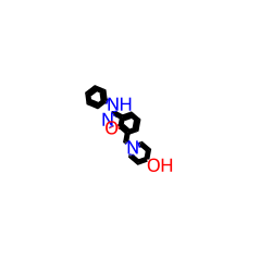 OC1CCN(Cc2cccc3c(Nc4ccccc4)noc23)CC1